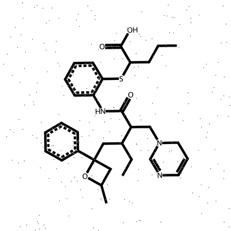 CCCC(Sc1ccccc1NC(=O)C(CN1C=NC=CC1)C(CC)CC1(c2ccccc2)CC(C)O1)C(=O)O